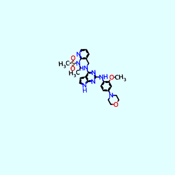 CCN(c1ncccc1CNc1nc(Nc2ccc(N3CCOCC3)cc2OC)nc2[nH]ccc12)S(C)(=O)=O